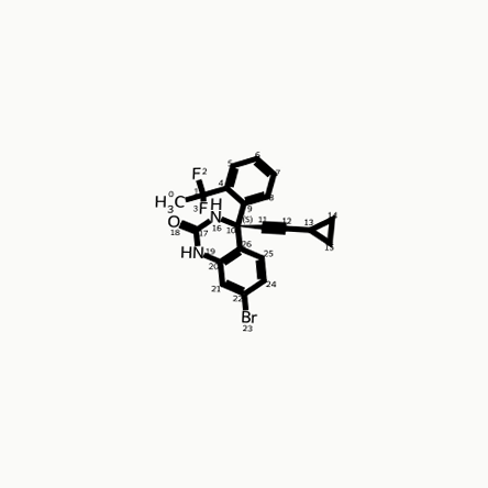 CC(F)(F)c1ccccc1[C@@]1(C#CC2CC2)NC(=O)Nc2cc(Br)ccc21